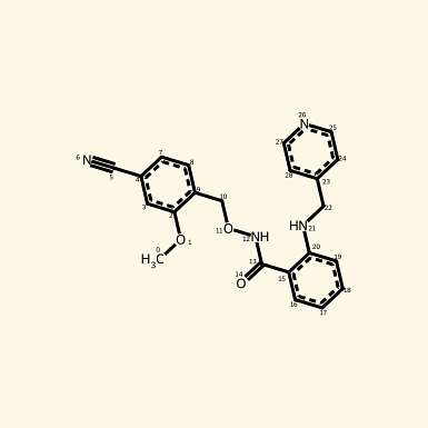 COc1cc(C#N)ccc1CONC(=O)c1ccccc1NCc1ccncc1